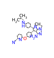 C=C(C)CNc1ccc(-c2c(-c3ccc(Oc4cccc(C#N)n4)cc3)c3c(N)ncnc3n2C)cc1